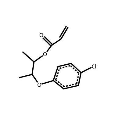 C=CC(=O)OC(C)C(C)Oc1ccc(Cl)cc1